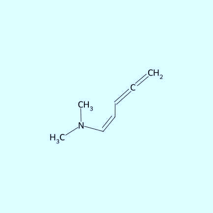 C=C=C/C=C\N(C)C